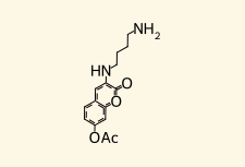 CC(=O)Oc1ccc2cc(NCCCCN)c(=O)oc2c1